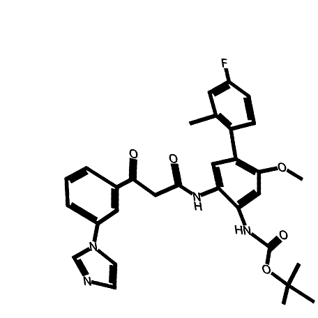 COc1cc(NC(=O)OC(C)(C)C)c(NC(=O)CC(=O)c2cccc(-n3ccnc3)c2)cc1-c1ccc(F)cc1C